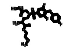 COCCOC(=O)N(C)CCN(CC(=O)NO)S(=O)(=O)c1cc(F)c(Oc2ccc(F)cc2)c(F)c1